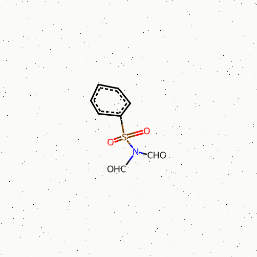 O=CN(C=O)S(=O)(=O)c1ccccc1